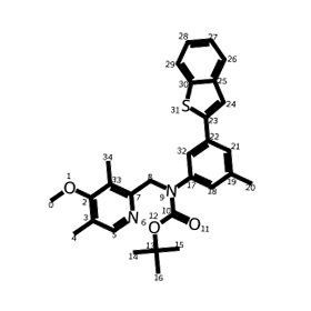 COc1c(C)cnc(CN(C(=O)OC(C)(C)C)c2cc(C)cc(-c3cc4ccccc4s3)c2)c1C